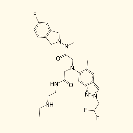 CCNCCNC(=O)CN(CC(=O)N(C)N1Cc2ccc(F)cc2C1)c1cc2nn(CC(F)F)cc2cc1C